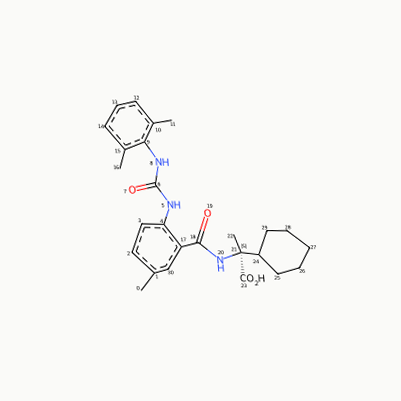 Cc1ccc(NC(=O)Nc2c(C)cccc2C)c(C(=O)N[C@](C)(C(=O)O)C2CCCCC2)c1